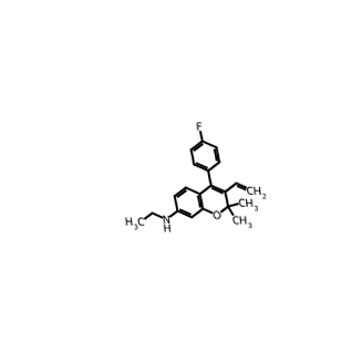 C=CC1=C(c2ccc(F)cc2)c2ccc(NCC)cc2OC1(C)C